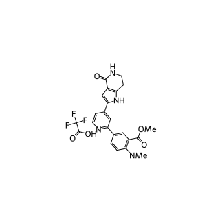 CNc1ccc(-c2cc(-c3cc4c([nH]3)CCNC4=O)ccn2)cc1C(=O)OC.O=C(O)C(F)(F)F